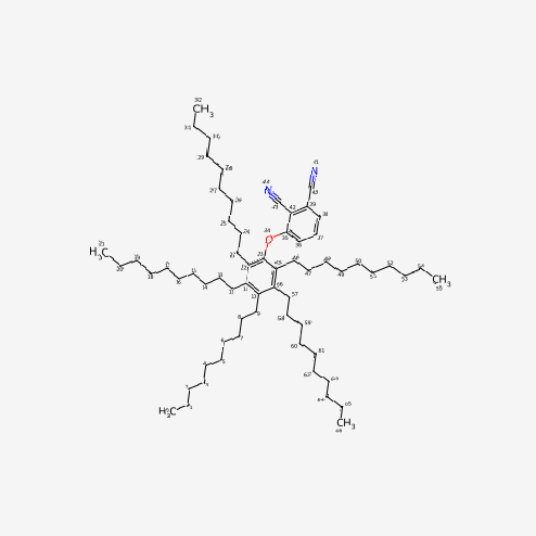 CCCCCCCCCCc1c(CCCCCCCCCC)c(CCCCCCCCCC)c(Oc2cccc(C#N)c2C#N)c(CCCCCCCCCC)c1CCCCCCCCCC